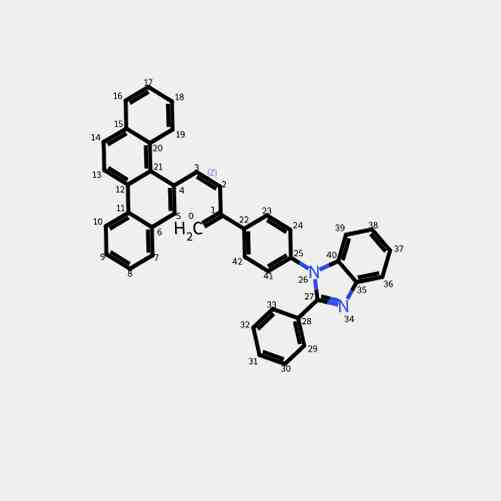 C=C(/C=C\c1cc2ccccc2c2ccc3ccccc3c12)c1ccc(-n2c(-c3ccccc3)nc3ccccc32)cc1